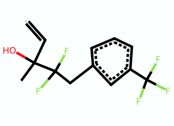 [CH]=CC(C)(O)C(F)(F)Cc1cccc(C(F)(F)F)c1